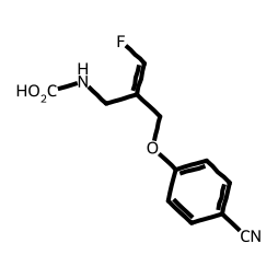 N#Cc1ccc(OC/C(=C/F)CNC(=O)O)cc1